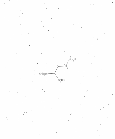 CCCCCCCC(CCCCCC)COS(=O)(=O)O